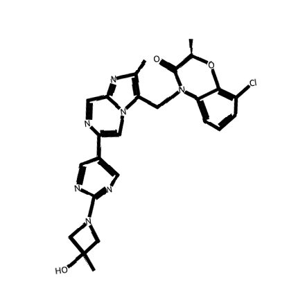 Cc1nc2cnc(-c3cnc(N4CC(C)(O)C4)nc3)cn2c1CN1C(=O)[C@@H](C)Oc2c(Cl)cccc21